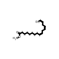 CC/C=C\C/C=C\C/C=C\CCCCCCCC(=O)ON